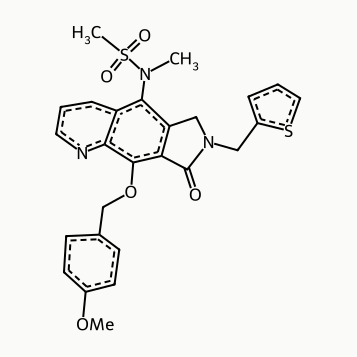 COc1ccc(COc2c3c(c(N(C)S(C)(=O)=O)c4cccnc24)CN(Cc2cccs2)C3=O)cc1